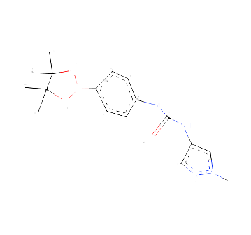 Cn1cc(NC(=O)Nc2ccc(B3OC(C)(C)C(C)(C)O3)cc2)cn1